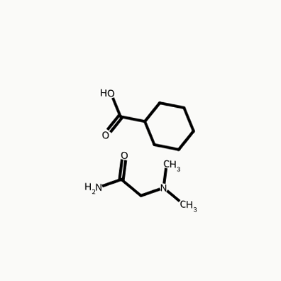 CN(C)CC(N)=O.O=C(O)C1CCCCC1